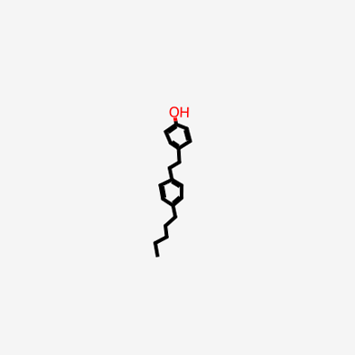 CCCCCc1ccc(CCc2ccc(O)cc2)cc1